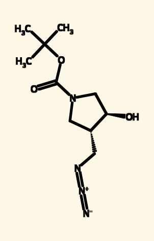 CC(C)(C)OC(=O)N1C[C@@H](CN=[N+]=[N-])[C@H](O)C1